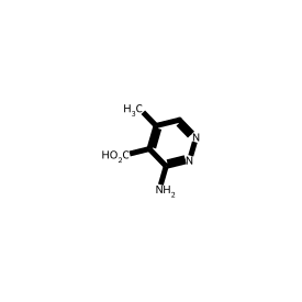 Cc1cnnc(N)c1C(=O)O